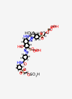 O=C(Nc1cccc(S(=O)(=O)CCOS(=O)(=O)O)c1)c1ccc(/N=N/c2c(SOOO)cc3c(/N=N/c4ccc(S(=O)(=O)CCOSOOO)cc4S(=O)(=O)O)c(NCS(=O)(=O)O)ccc3c2O)cc1